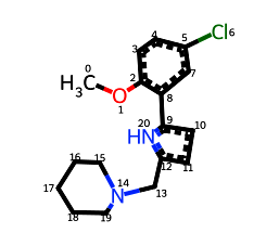 COc1ccc(Cl)cc1-c1ccc(CN2CCCCC2)[nH]1